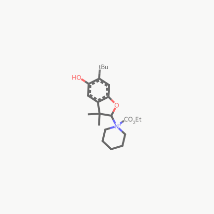 CCOC(=O)[N+]1(C2Oc3cc(C(C)(C)C)c(O)cc3C2(C)C)CCCCC1